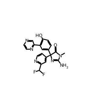 CN1C(=O)C(c2ccnc(C(F)F)c2)(c2ccc(O)c(-c3cnccn3)c2)N=C1N